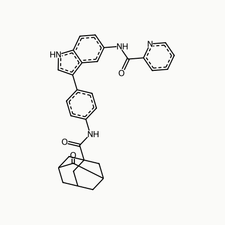 O=C(Nc1ccc2[nH]cc(-c3ccc(NC(=O)C45CC6CC(C4)C(=O)C(C6)C5)cc3)c2c1)c1ccccn1